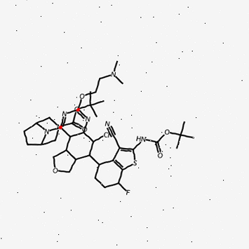 CN(C)CCOC1=NC2C(Cl)C(C3CCC(F)c4sc(NC(=O)OC(C)(C)C)c(C#N)c43)C3COCC3C2C(N2C3CCC2CN(C(=O)OC(C)(C)C)C3)=N1